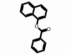 O=C(Oc1cc[c]c2ccccc12)c1ccccc1